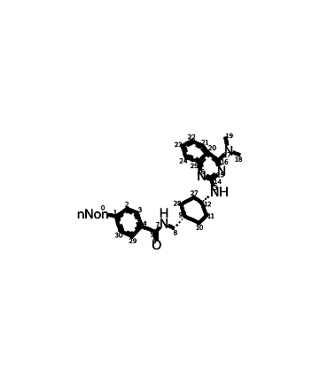 CCCCCCCCCc1ccc(C(=O)NC[C@H]2CC[C@@H](Nc3nc(N(C)C)c4ccccc4n3)CC2)cc1